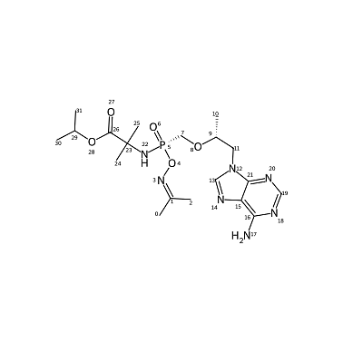 CC(C)=NO[P@@](=O)(CO[C@H](C)Cn1cnc2c(N)ncnc21)NC(C)(C)C(=O)OC(C)C